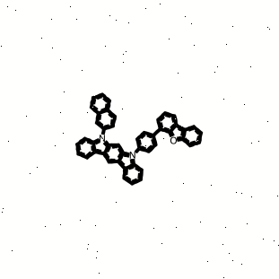 c1ccc2cc(-n3c4ccccc4c4cc5c6ccccc6n(-c6ccc(-c7cccc8c7oc7ccccc78)cc6)c5cc43)ccc2c1